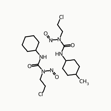 CC1CCC(NC(=O)N(CCCl)N=O)CC1.O=NN(CCCl)C(=O)NC1CCCCC1